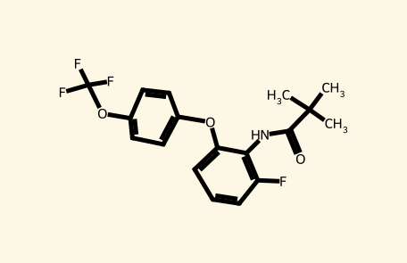 CC(C)(C)C(=O)Nc1c(F)cccc1Oc1ccc(OC(F)(F)F)cc1